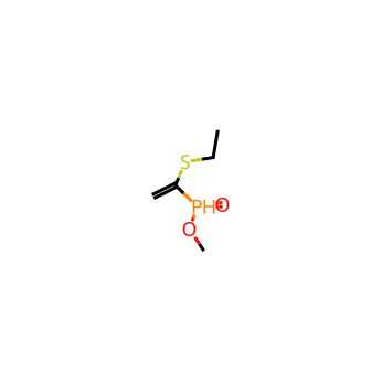 C=C(SCC)[PH](=O)OC